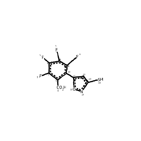 O=C(O)c1c(F)c(F)c(F)c(F)c1-c1cc(S)no1